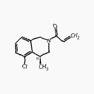 C=CC(=O)N1Cc2cccc(Cl)c2[C@H](C)C1